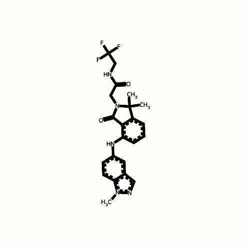 Cn1ncc2cc(Nc3cccc4c3C(=O)N(CC(=O)NCC(F)(F)F)C4(C)C)ccc21